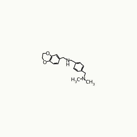 CN(C)Cc1ccc(CNCc2ccc3c(c2)OCCO3)cc1